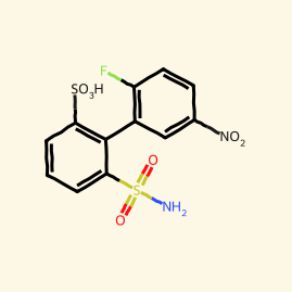 NS(=O)(=O)c1cccc(S(=O)(=O)O)c1-c1cc([N+](=O)[O-])ccc1F